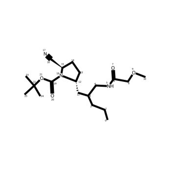 CCCC(CNC(=O)COC)C[C@H]1CC[C@H](C#N)N1C(=O)OC(C)(C)C